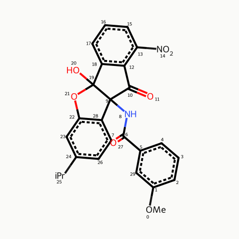 COc1cccc(C(=O)NC23C(=O)c4c([N+](=O)[O-])cccc4C2(O)Oc2cc(C(C)C)ccc23)c1